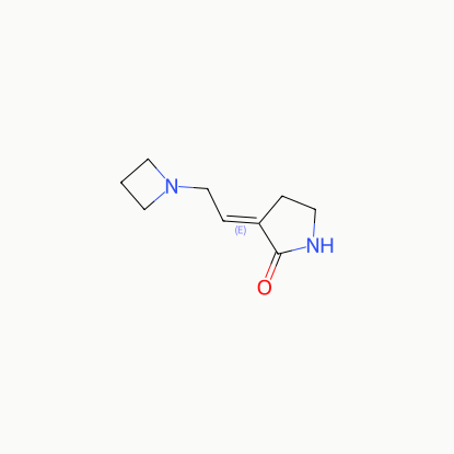 O=C1NCC/C1=C\CN1CCC1